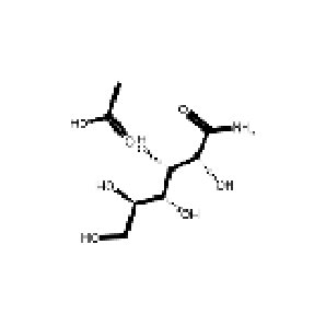 CC(=O)O.NC(=O)[C@H](O)[C@@H](O)[C@H](O)[C@H](O)CO